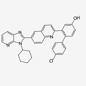 Oc1ccc(-c2ccc(Cl)cc2)c(-c2ccc3cc(-c4nc5cccnc5n4C4CCCCC4)ccc3n2)c1